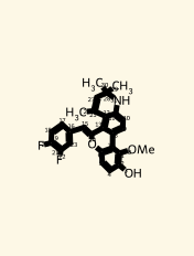 COc1c(O)ccc2c1-c1ccc3c(c1C(=Cc1ccc(F)c(F)c1)O2)C(C)=CC(C)(C)N3